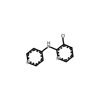 Clc1cccnc1Nc1ccncc1